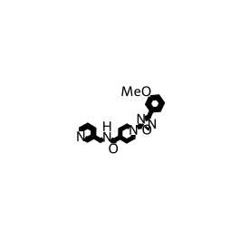 COc1cccc(-c2noc(N3CCC(C(=O)NCc4cccnc4)CC3)n2)c1